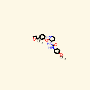 O=C(Nc1ccc(OC(F)(F)F)cc1)NC1CCCNC1Oc1cccc(C2(C(F)(F)F)CCO2)c1